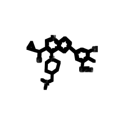 COc1cc(-c2ccc3ncc(C(=O)C4CC4)c(N4CCC(CN(C)C)CC4)c3c2)cc(Cl)c1C